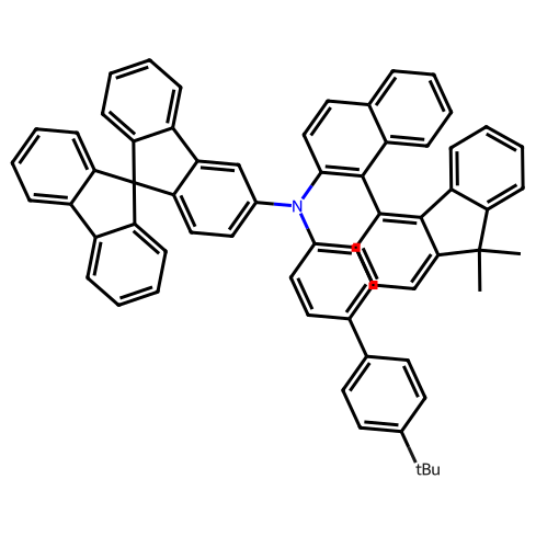 CC(C)(C)c1ccc(-c2ccc(N(c3ccc4c(c3)-c3ccccc3C43c4ccccc4-c4ccccc43)c3ccc4ccccc4c3-c3cccc4c3-c3ccccc3C4(C)C)cc2)cc1